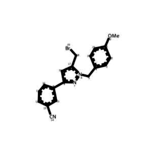 COc1ccc(Cn2nc(-c3cccc(C#N)c3)cc2CBr)cc1